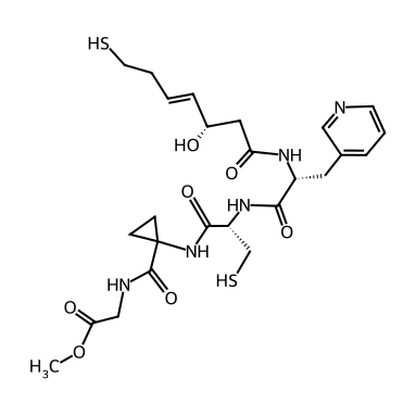 COC(=O)CNC(=O)C1(NC(=O)[C@@H](CS)NC(=O)[C@@H](Cc2cccnc2)NC(=O)C[C@H](O)/C=C/CCS)CC1